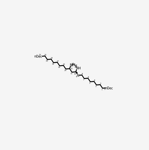 CCCCCCCCCCCCCCCCCCN=C(CC(N)CCCCCCCCCCCCCCCCCC)NC(C)C